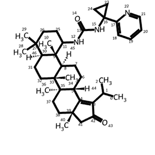 CC(C)C1=C2[C@H]3CC[C@@H]4[C@@]5(C)C(NC(=O)NC6(c7ccccn7)CC6)CCC(C)(C)[C@@H]5CC[C@@]4(C)[C@]3(C)CC[C@@]2(C)CC1=O